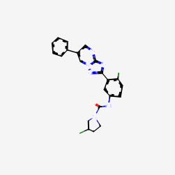 O=C(Nc1ccc(F)c(-c2nc3ncc(-c4ccccc4)cn3n2)c1)N1CCC(F)C1